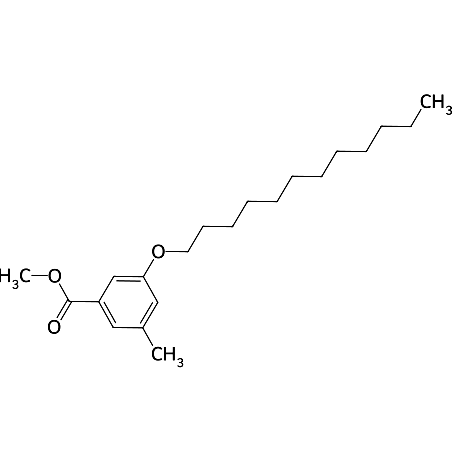 CCCCCCCCCCCCOc1cc(C)cc(C(=O)OC)c1